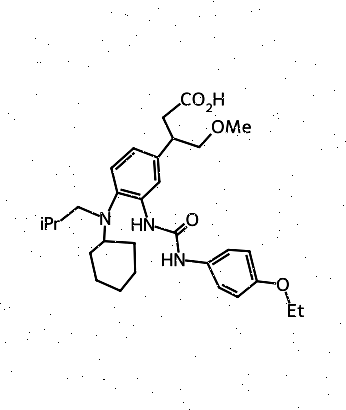 CCOc1ccc(NC(=O)Nc2cc(C(COC)CC(=O)O)ccc2N(CC(C)C)C2CCCCC2)cc1